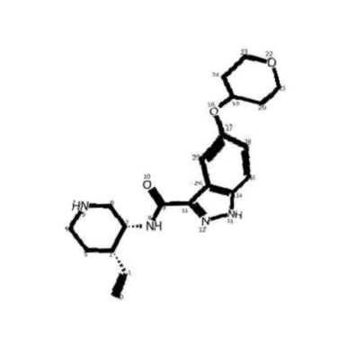 C=C[C@@H]1CCNC[C@@H]1NC(=O)c1n[nH]c2ccc(OC3CCOCC3)cc12